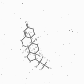 C[C@]12CCC(=O)C=C1CC[C@@H]1[C@H]2CC[C@]2(C)C(C(F)(F)C(F)(F)F)CC[C@@H]12